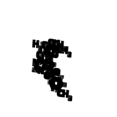 Cc1ccc(S(=O)(=O)n2cc(B3OC(C)(C)C(C)(C)O3)c3c(C)ncnc32)cc1